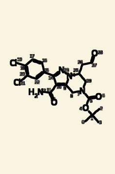 CC(C)(C)OC(=O)N1Cc2c(C(N)=O)c(-c3ccc(Cl)c(Cl)c3)nn2C(CC=O)C1